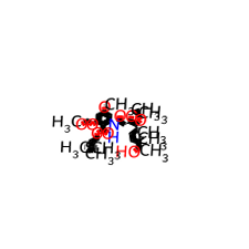 COCOc1cc(OC)cc(NC(=O)C[C@@H]2OC(C)(C)O[C@@H]2C(C)/C=C\[C@@H](C)[C@@H](C)O)c1C(=O)OCC[Si](C)(C)C